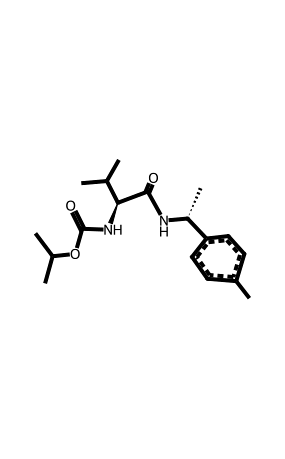 Cc1ccc([C@@H](C)NC(=O)[C@@H](NC(=O)OC(C)C)C(C)C)cc1